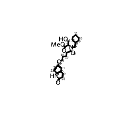 COC(=O)C(CO)N(CC1CCCCC1)C(=O)CCCCOc1ccc2[nH]c(=O)ccc2c1